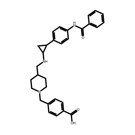 O=C(O)c1ccc(CN2CCC(CNC3CC3c3ccc(NC(=O)c4ccccc4)cc3)CC2)cc1